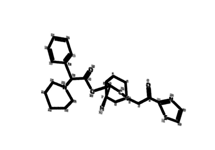 O=C(C[N+]12CCC(CC1)[C@@H](OC(=O)C(c1ccccc1)N1CCCCC1)C2)c1nccs1